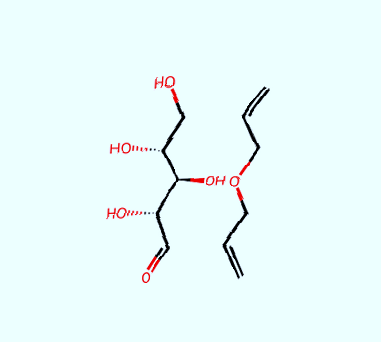 C=CCOCC=C.O=C[C@H](O)[C@H](O)[C@H](O)CO